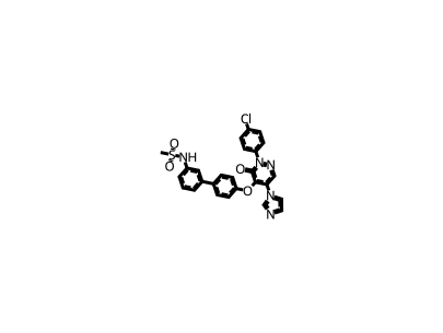 CS(=O)(=O)Nc1cccc(-c2ccc(Oc3c(-n4ccnc4)cnn(-c4ccc(Cl)cc4)c3=O)cc2)c1